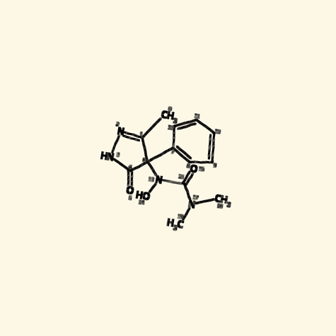 CC1=NNC(=O)C1(c1ccccc1)N(O)C(=O)N(C)C